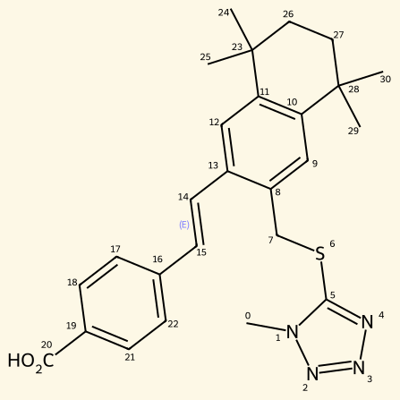 Cn1nnnc1SCc1cc2c(cc1/C=C/c1ccc(C(=O)O)cc1)C(C)(C)CCC2(C)C